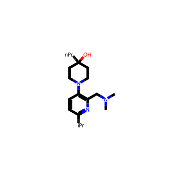 CCCC1(O)CCN(c2ccc(C(C)C)nc2CN(C)C)CC1